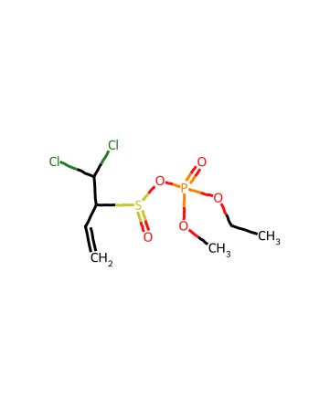 C=CC(C(Cl)Cl)S(=O)OP(=O)(OC)OCC